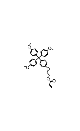 C=CC(=O)OCCOc1ccc(C(c2ccc(OC)cc2)(c2ccc(OC)cc2)c2ccc(OC)cc2)cc1